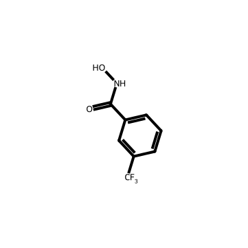 O=C(NO)c1cccc(C(F)(F)F)c1